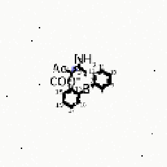 CC(=O)/C(C(=O)[O-])=C(/C)N.[B+](c1ccccc1)c1ccccc1